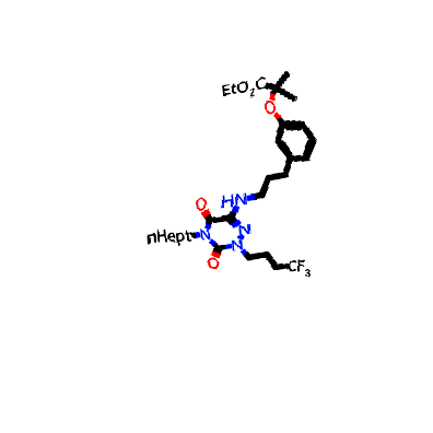 CCCCCCCn1c(=O)c(NCCCc2cccc(OC(C)(C)C(=O)OCC)c2)nn(CCCC(F)(F)F)c1=O